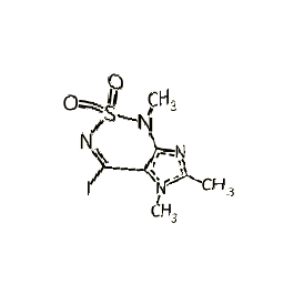 Cc1nc2c(n1C)C(I)=NS(=O)(=O)N2C